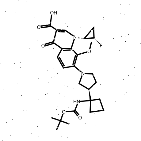 COc1c(N2CC[C@@H](C3(NC(=O)OC(C)(C)C)CCC3)C2)ccc2c(=O)c(C(=O)O)cn([C@@H]3C[C@@H]3F)c12